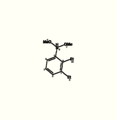 CCc1cccc([SiH](OC)OC)c1CC